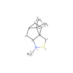 CN1SCC23CCC(CC12)C3(C)C